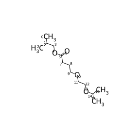 CC(C)COC(=O)CCCOCCOC(C)C